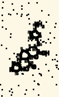 Nc1nnc(S[C@H]2Cc3ccc(-n4ccnn4)c(C(=O)O)c3OB2O)s1